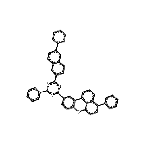 c1ccc(-c2ccc3cc(-c4nc(-c5ccccc5)nc(-c5ccc6c(c5)-c5cccc7c(-c8ccccc8)ccc(c57)S6)n4)ccc3c2)cc1